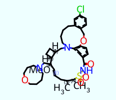 CO[C@@]1(CN2CCCCOCCC2)/C=C/C[C@H](C)[C@@H](C)S(=O)(=O)NC(=O)c2ccc3c(c2)N(CCCCc2cc(Cl)ccc2CO3)C[C@@H]2CC[C@H]21